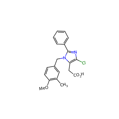 COc1ccc(Cn2c(-c3ccccc3)nc(Cl)c2CC(=O)O)cc1C